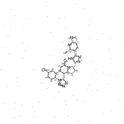 Nc1ccc(-c2nnc([C@@H]3CCc4cc(-c5cc(Cl)ccc5-n5cnnn5)cc(=O)n43)[nH]2)c(F)n1